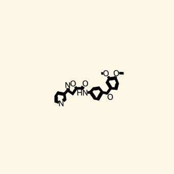 COc1ccc(C(=O)c2ccc(NC(=O)C3CC(c4cccnc4)=NO3)cc2)cc1OC